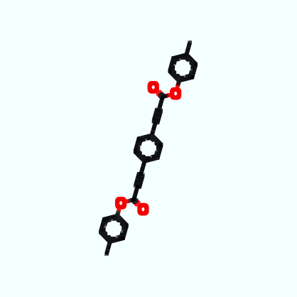 Cc1ccc(OC(=O)C#Cc2ccc(C#CC(=O)Oc3ccc(C)cc3)cc2)cc1